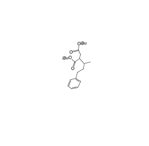 CC(C)COC(=O)CC(C(=O)OCC(C)C)C(C)CCc1ccccc1